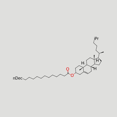 CCCCCCCCCCCCCCCCCCCCCC(=O)OC1CC[C@@]2(C)C(=CC[C@H]3[C@@H]4CC[C@H]([C@H](C)CCCC(C)C)[C@@]4(C)CC[C@@H]32)C1